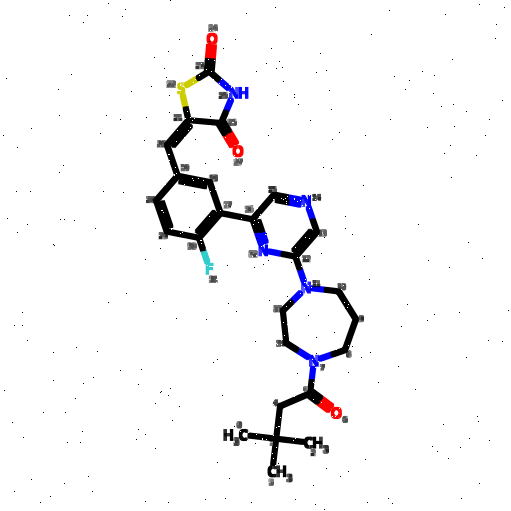 CC(C)(C)CC(=O)N1CCCN(c2cncc(-c3cc(C=C4SC(=O)NC4=O)ccc3F)n2)CC1